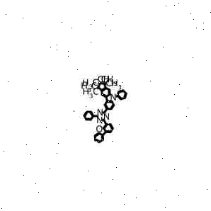 CC1(C)c2cc3c4cc(-c5nc(-c6ccccc6)nc(-c6cccc7c6oc6ccccc67)n5)ccc4n(-c4ccccc4)c3cc2C(C)(C)C1(C)C